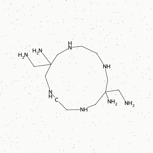 NCC1(N)CNCCNCC(N)(CN)CNCCNC1